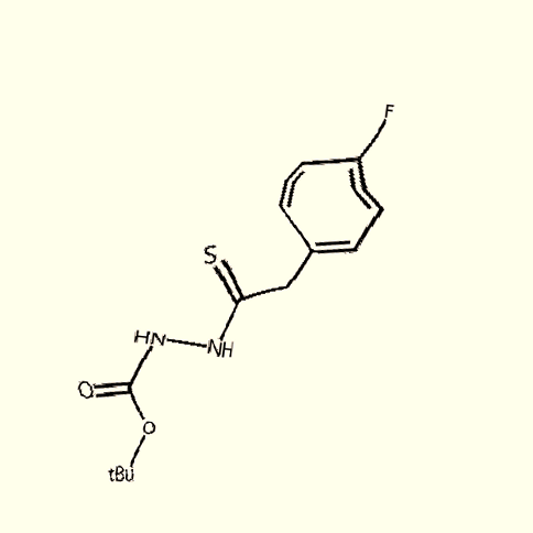 CC(C)(C)OC(=O)NNC(=S)Cc1ccc(F)cc1